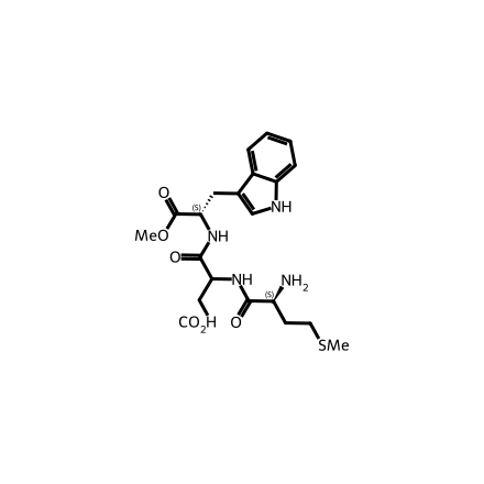 COC(=O)[C@H](Cc1c[nH]c2ccccc12)NC(=O)C(CC(=O)O)NC(=O)[C@@H](N)CCSC